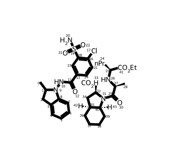 CC1Cc2ccccc2N1NC(=O)c1ccc(Cl)c(S(N)(=O)=O)c1.CCC[C@H](N[C@@H](C)C(=O)N1[C@H](C(=O)O)C[C@@H]2CCCC[C@@H]21)C(=O)OCC